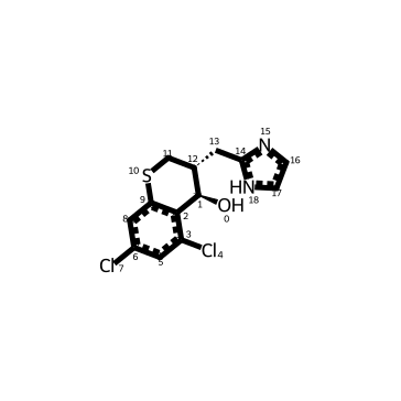 O[C@H]1c2c(Cl)cc(Cl)cc2SC[C@@H]1Cc1ncc[nH]1